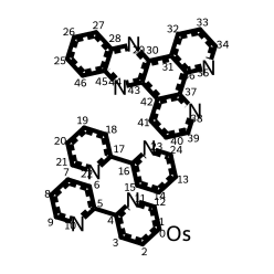 [Os].c1ccc(-c2ccccn2)nc1.c1ccc(-c2ccccn2)nc1.c1ccc2nc3c4cccnc4c4ncccc4c3nc2c1